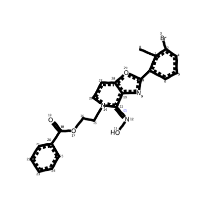 Cc1c(Br)cccc1-c1nc2/c(=N/O)n(CCOC(=O)c3ccccc3)ccc2o1